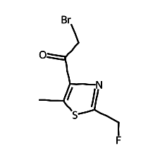 Cc1sc(CF)nc1C(=O)CBr